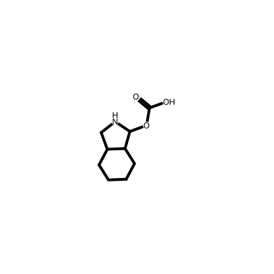 O=C(O)OC1NCC2CCCCC21